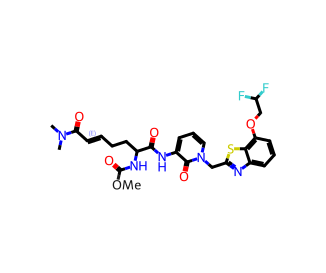 COC(=O)NC(CC/C=C/C(=O)N(C)C)C(=O)Nc1cccn(Cc2nc3cccc(OCC(F)F)c3s2)c1=O